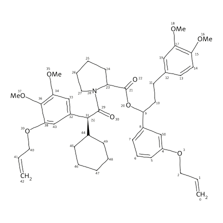 C=CCOc1cccc(C(CCc2ccc(OC)c(OC)c2)OC(=O)C2CCCCN2C(=O)[C@H](c2cc(OC)c(OC)c(OCC=C)c2)C2CCCCC2)c1